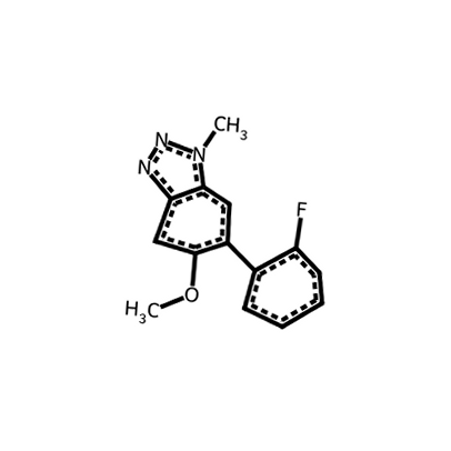 COc1cc2nnn(C)c2cc1-c1ccccc1F